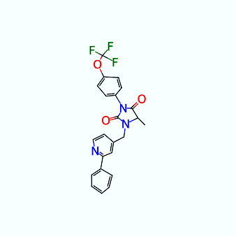 CC1C(=O)N(c2ccc(OC(F)(F)F)cc2)C(=O)N1Cc1ccnc(-c2ccccc2)c1